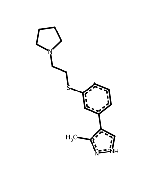 Cc1n[nH]cc1-c1cc[c]c(SCCN2CCCC2)c1